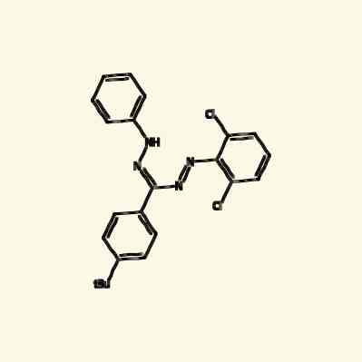 CC(C)(C)c1ccc(C(N=Nc2c(Cl)cccc2Cl)=NNc2ccccc2)cc1